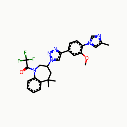 COc1cc(-c2cn(C3CN(C(=O)C(F)(F)F)c4ccccc4C(C)(C)C3)nn2)ccc1-n1cnc(C)c1